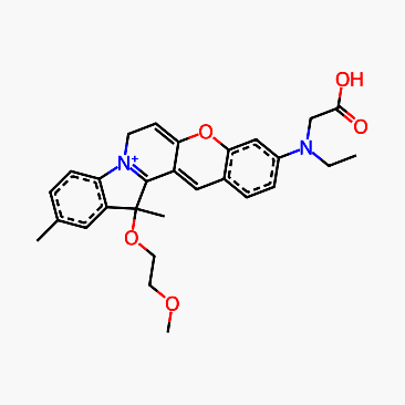 CCN(CC(=O)O)c1ccc2c(c1)OC1=CC[N+]3=C(C1=C2)C(C)(OCCOC)c1cc(C)ccc13